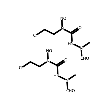 CN(C=O)NC(=O)N(CCCl)N=O.CN(C=O)NC(=O)N(CCCl)N=O